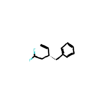 C=C[C@H](Cc1ccccc1)CC(F)F